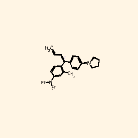 C=C/C=C(/c1ccc(N2CCCC2)cc1)c1ccc(N(CC)CC)cc1C